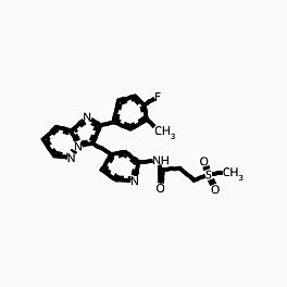 Cc1cc(-c2nc3cccnn3c2-c2ccnc(NC(=O)CCS(C)(=O)=O)c2)ccc1F